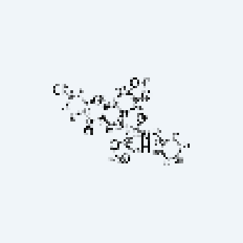 O=C(c1ccc(Cl)cc1)c1cn(C(C(=O)NCc2ccccc2)C2=COCO2)c2cc3c(cc2c1=O)OCO3